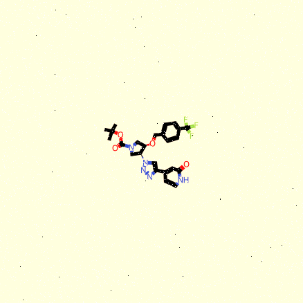 CC(C)(C)OC(=O)N1C[C@@H](n2cc(-c3cc[nH]c(=O)c3)nn2)[C@H](OCc2ccc(C(F)(F)F)cc2)C1